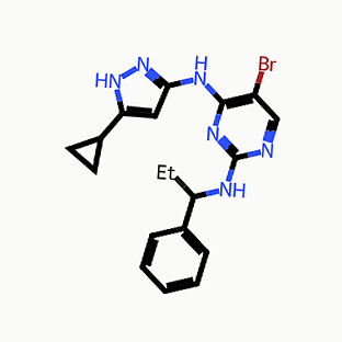 CCC(Nc1ncc(Br)c(Nc2cc(C3CC3)[nH]n2)n1)c1ccccc1